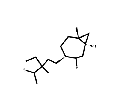 CCC(C)(CC[C@H]1CC[C@]2(C)C[C@H]2CC1F)C(C)F